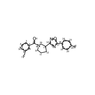 O=C(c1ccnc(F)c1)N1CCCC(c2noc(-c3ccc(F)cc3)n2)C1